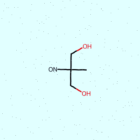 CC(CO)(CO)N=O